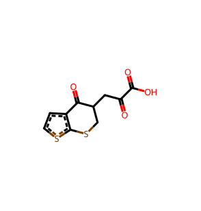 O=C(O)C(=O)CC1CSc2sccc2C1=O